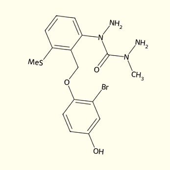 CSc1cccc(N(N)C(=O)N(C)N)c1COc1ccc(O)cc1Br